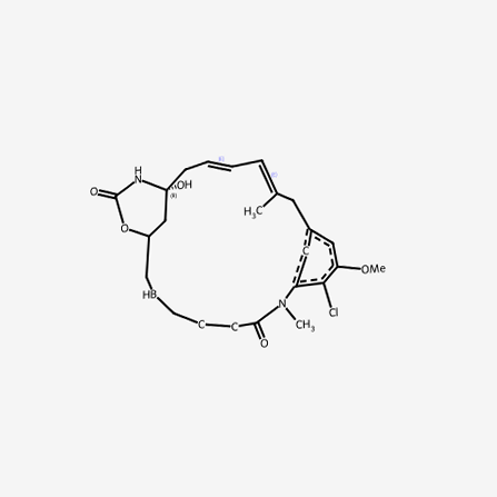 COc1cc2cc(c1Cl)N(C)C(=O)CCCBCC1C[C@](O)(C/C=C/C=C(\C)C2)NC(=O)O1